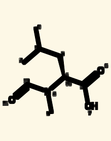 CC(C)C[C@@H](C(=O)O)N(C)C=O